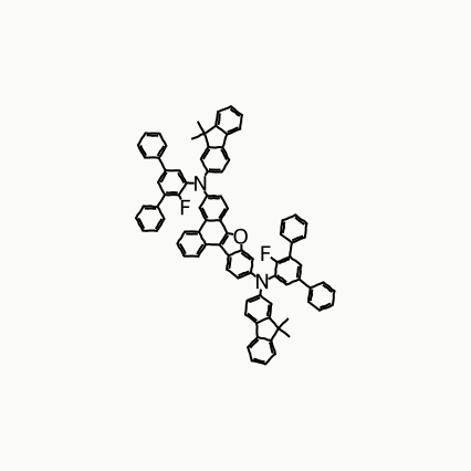 CC1(C)c2ccccc2-c2ccc(N(c3ccc4c(c3)oc3c5ccc(N(c6ccc7c(c6)C(C)(C)c6ccccc6-7)c6cc(-c7ccccc7)cc(-c7ccccc7)c6F)cc5c5ccccc5c43)c3cc(-c4ccccc4)cc(-c4ccccc4)c3F)cc21